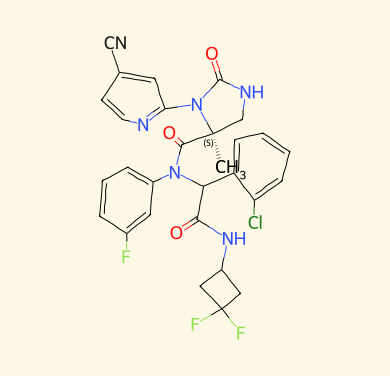 C[C@@]1(C(=O)N(c2cccc(F)c2)C(C(=O)NC2CC(F)(F)C2)c2ccccc2Cl)CNC(=O)N1c1cc(C#N)ccn1